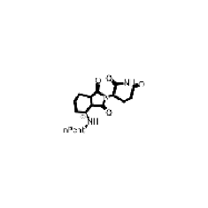 CCCCCN[C@H]1CCCC2C(=O)N(C3CCC(=O)NC3=O)C(=O)C21